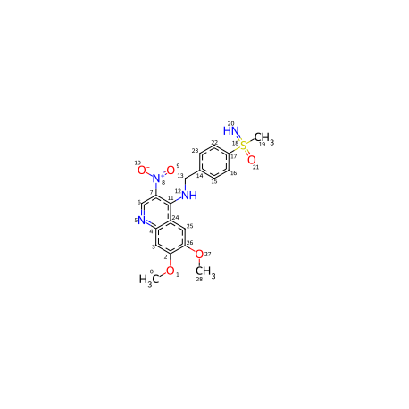 COc1cc2ncc([N+](=O)[O-])c(NCc3ccc(S(C)(=N)=O)cc3)c2cc1OC